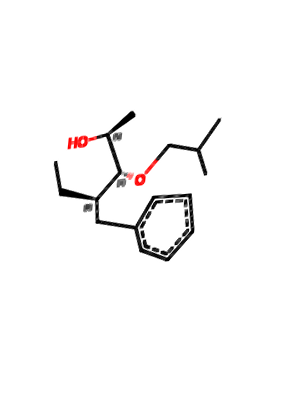 CC[C@H](Cc1ccccc1)[C@@H](OCC(C)C)[C@H](C)O